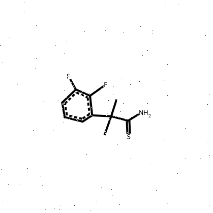 CC(C)(C(N)=S)c1cccc(F)c1F